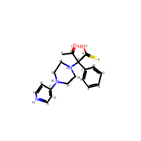 CC(=O)C(C(O)=S)(c1ccccc1)N1CCN(c2ccncc2)CC1